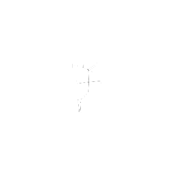 C=NOC(C)(C)C(=O)O